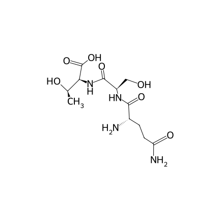 C[C@@H](O)[C@H](NC(=O)[C@@H](CO)NC(=O)[C@@H](N)CCC(N)=O)C(=O)O